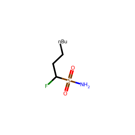 CCCCCCC(F)S(N)(=O)=O